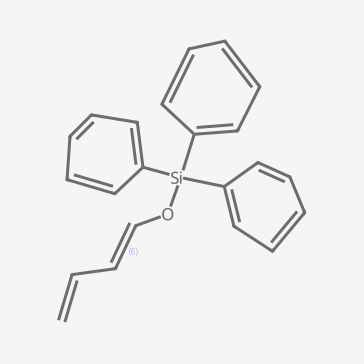 C=C/C=C/O[Si](c1ccccc1)(c1ccccc1)c1ccccc1